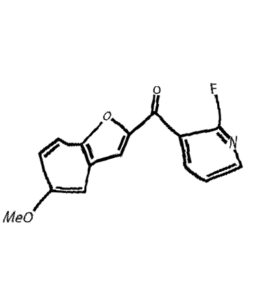 COc1ccc2oc(C(=O)c3cccnc3F)cc2c1